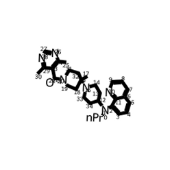 CCCN(c1cccc2cccnc12)C1CCN(C2(C)CCN(C(=O)c3c(C)ncnc3C)CC2)CC1